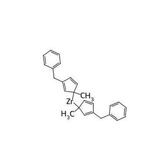 C[C]1([Zr][C]2(C)C=CC(Cc3ccccc3)=C2)C=CC(Cc2ccccc2)=C1